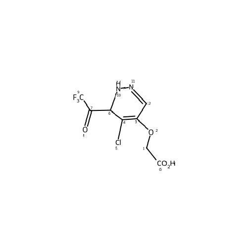 O=C(O)COC1=C(Cl)C(C(=O)C(F)(F)F)NN=C1